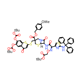 COc1ccc(COC(=O)C2(CSc3cc(=O)c4cc(OC(=O)OC(C)(C)C)c(OC(=O)OC(C)(C)C)cc4s3)CS[C@@H]3C(NC(=O)C(=NOCC(=O)OC(C)(C)C)c4csc(NC(c5ccccc5)(c5ccccc5)c5ccccc5)n4)C(=O)N3C2)cc1